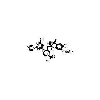 CCC(=O)N1CCN(c2cc(Cl)nc(-n3ccnc3)n2)C(CC(=O)NC(C)c2ccc(OC)c(Cl)c2)C1